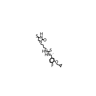 C[C@@H](NC(=S)NCCCCN1CC(=S)NC1=O)c1ccc(F)c(OCC2CC2)c1